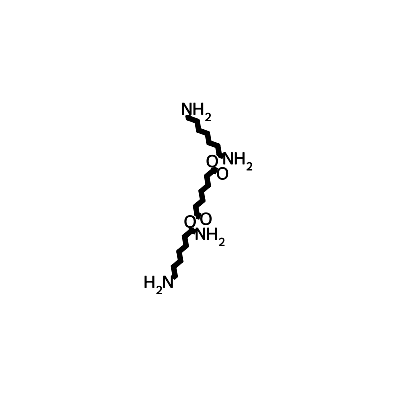 NCCCCCCC(N)OC(=O)CCCCCC(=O)OC(N)CCCCCCN